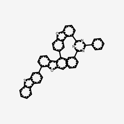 c1ccc(-c2nc(-c3ccccc3)nc(-c3cccc4oc5ccc(-c6cccc7oc8c(-c9ccc%10c(c9)sc9ccccc9%10)cccc8c67)cc5c34)n2)cc1